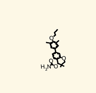 CCCOc1c(C)cc(-c2ccc3c(c2)OCC(C)(C)C3OC(N)=O)cc1C